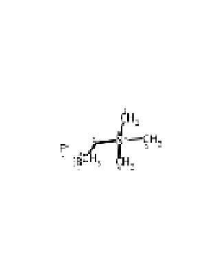 CC[N+](C)(C)C.[B].[F-]